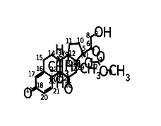 COC(=O)O[C@]1(C(=O)CO)CC[C@H]2[C@@H]3CCC4=CC(=O)C=C[C@]4(C)[C@H]3C(=O)C[C@@]21C